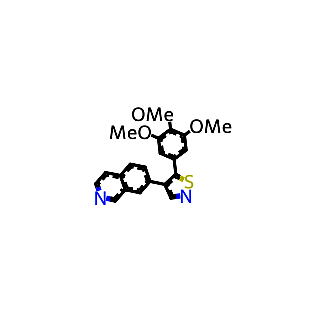 COc1cc(-c2sncc2-c2ccc3ccncc3c2)cc(OC)c1OC